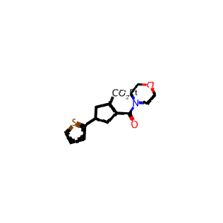 CCOC(=O)C1CC(c2cccs2)CC1C(=O)N1CCOCC1